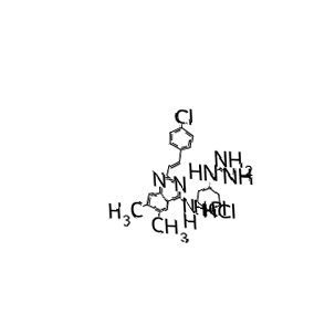 Cc1cc2nc(C=Cc3ccc(Cl)cc3)nc(N[C@H]3CCC[C@@H](NC(=N)N)C3)c2cc1C.Cl.Cl